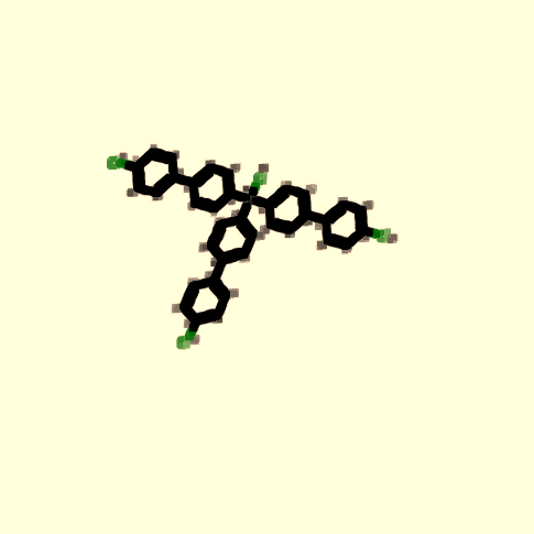 Clc1ccc(-c2ccc([Si](Cl)(c3ccc(-c4ccc(Cl)cc4)cc3)c3ccc(-c4ccc(Cl)cc4)cc3)cc2)cc1